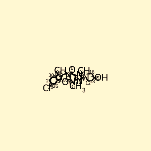 Cn1c(Cn2c(=O)c3c(nc(N4CCC(O)CC4)n3C)n(C)c2=O)cc2cc(Cl)ccc21